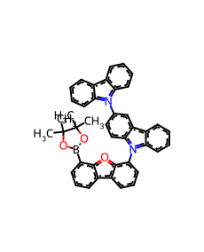 CC1(C)OB(c2cccc3c2oc2c(-n4c5ccccc5c5cc(-n6c7ccccc7c7ccccc76)ccc54)cccc23)OC1(C)C